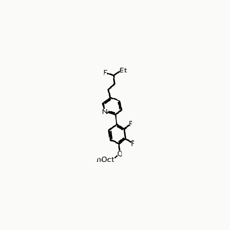 CCCCCCCCOc1ccc(-c2ccc(CCC(F)CC)cn2)c(F)c1F